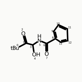 CC(C)(C)C(=O)C(O)NC(=O)c1ccccc1